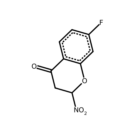 O=C1CC([N+](=O)[O-])Oc2cc(F)ccc21